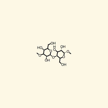 COC1[C@@H](O)C(CO)O[C@@H](O[C@@H]2C(CO)O[C@@H](OC)[C@@H](O)C2O)[C@H]1O